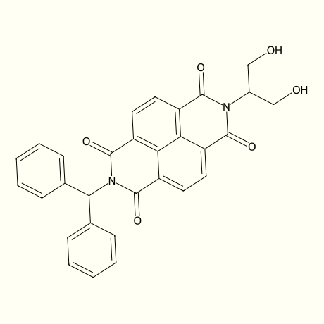 O=C1c2ccc3c4c(ccc(c24)C(=O)N1C(CO)CO)C(=O)N(C(c1ccccc1)c1ccccc1)C3=O